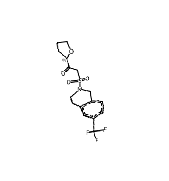 O=C(CS(=O)(=O)N1CCc2cc(C(F)(F)F)ccc2C1)[C@H]1CCCO1